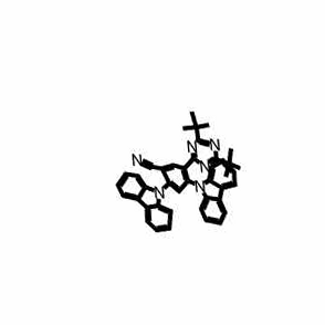 CC(C)(C)c1nc(-c2cc(C#N)c(-n3c4ccccc4c4ccccc43)cc2-n2c3ccccc3c3ccccc32)nc(C(C)(C)C)n1